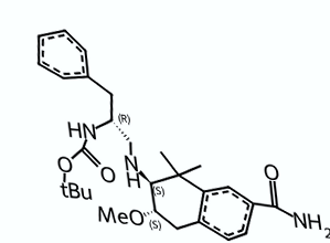 CO[C@H]1Cc2ccc(C(N)=O)cc2C(C)(C)[C@@H]1NC[C@@H](Cc1ccccc1)NC(=O)OC(C)(C)C